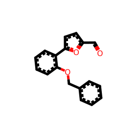 O=Cc1ccc(-c2ccccc2OCc2ccccc2)o1